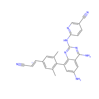 Cc1cc(/C=C/C#N)cc(C)c1-c1cc(N)cc2c(N)nc(Nc3ccc(C#N)cn3)nc12